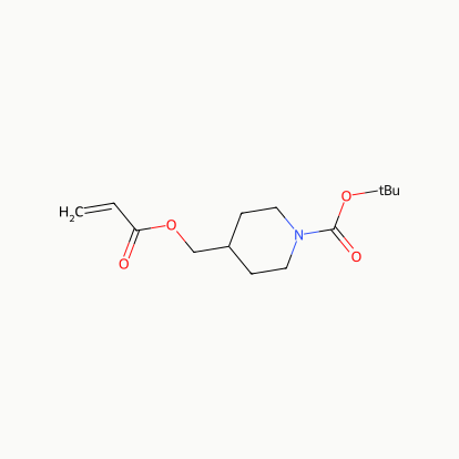 C=CC(=O)OCC1CCN(C(=O)OC(C)(C)C)CC1